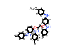 COc1ccc(NC2=CCC(Nc3ccc(OC)cc3)(OCCOC3(Nc4ccc(C)cc4)C=CC=C(Nc4ccc(C)cc4)C3)C=C2)cc1